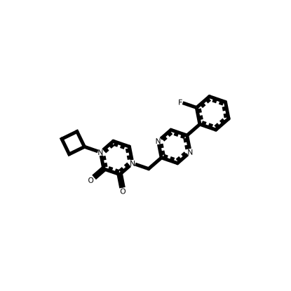 O=c1c(=O)n(C2CCC2)ccn1Cc1cnc(-c2ccccc2F)cn1